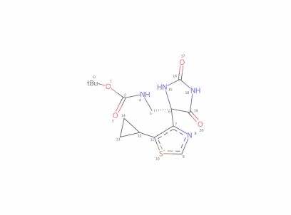 CC(C)(C)OC(=O)NC[C@]1(c2ncsc2C2CC2)NC(=O)NC1=O